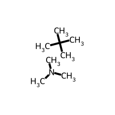 CC(C)(C)C.CN(C)C